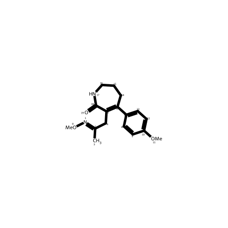 CON=C(C)CC1=C(c2ccc(OC)cc2)CCCNC1=O